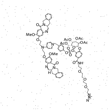 COc1cc2c(cc1OCCN(CCOc1cc3c(cc1OC)C(=O)N1Cc4ccccc4C[C@H]1C=N3)c1cc[n+](Cc3ccc(OS(=O)(=O)Oc4cc(C(=O)NCCOCCOCCOCCN=[N+]=[N-])ccc4OC4O[C@H](COC(C)=O)[C@H](OC(C)=O)[C@H](OC(C)=O)[C@H]4OC(C)=O)cc3)cc1)N=CC1Cc3ccccc3CN1C2=O